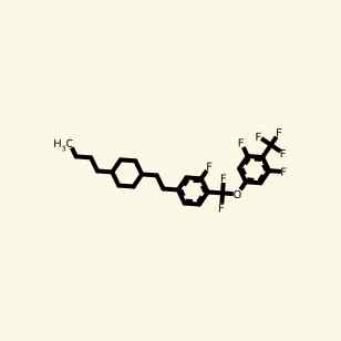 CCCCC1CCC(CCc2ccc(C(F)(F)Oc3cc(F)c(C(F)(F)F)c(F)c3)c(F)c2)CC1